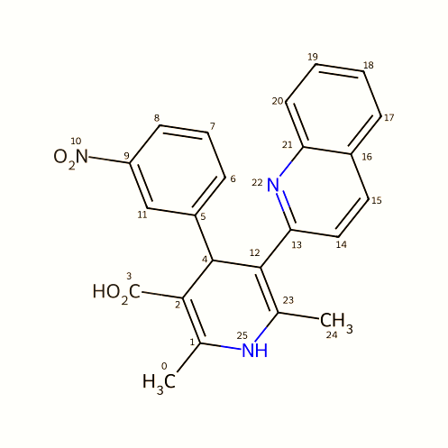 CC1=C(C(=O)O)C(c2cccc([N+](=O)[O-])c2)C(c2ccc3ccccc3n2)=C(C)N1